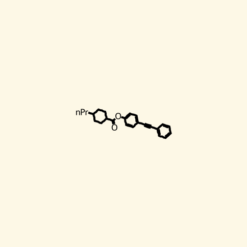 CCCC1CCC(C(=O)Oc2ccc(C#Cc3ccccc3)cc2)CC1